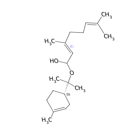 CC(C)=CCC/C(C)=C/C(O)OC(C)(C)[C@@H]1CC=C(C)CC1